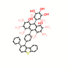 Bc1c(O)c(O)c(O)c(B)c1-c1c2c(O)c(B)c(B)c(B)c2c(-c2ccc(-c3c(-c4ccccc4)ccc4sc5ccccc5c34)cc2)c2c(B)c(B)c(B)c(O)c12